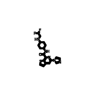 O=C(NC1CCC(NCC(F)F)CC1)c1nc(-n2ccnc2)cc2ccsc12